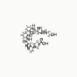 O=C(Nc1cccc(-c2cccc(NC(=O)c3cc4n(n3)CCCC4N3CCC(C(=O)O)CC3)c2Cl)c1Cl)c1ccc(CNCCO)cn1